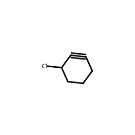 ClC1C#CCCC1